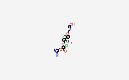 Cc1c(COc2cc(OCc3cncc(C#N)c3)c(C=O)cc2Cl)cccc1-c1cccc(OCCCN2CC[C@H](O)C2)c1C(F)(F)F